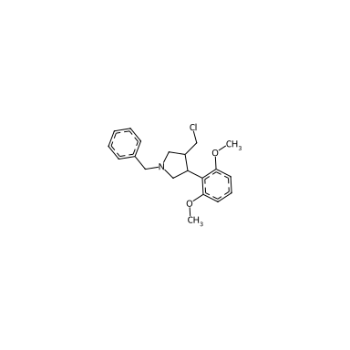 COc1cccc(OC)c1C1CN(Cc2ccccc2)CC1CCl